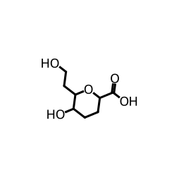 O=C(O)C1CCC(O)C(CCO)O1